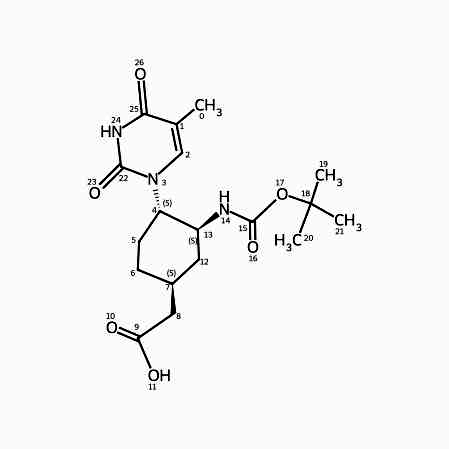 Cc1cn([C@H]2CC[C@H](CC(=O)O)C[C@@H]2NC(=O)OC(C)(C)C)c(=O)[nH]c1=O